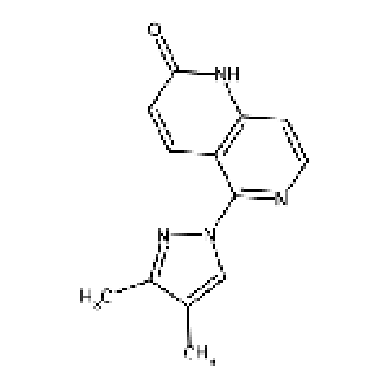 Cc1cn(-c2nccc3[nH]c(=O)ccc23)nc1C